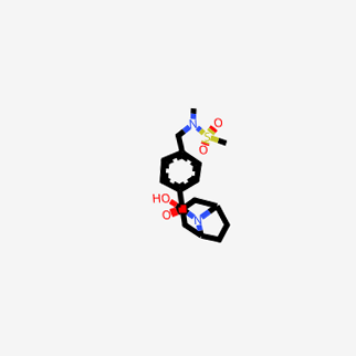 CN(Cc1ccc(C(=O)N2C3CCC2CC(O)C3)cc1)S(C)(=O)=O